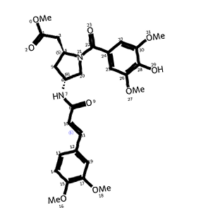 COC(=O)C[C@@H]1C[C@@H](NC(=O)/C=C/c2ccc(OC)c(OC)c2)CN1C(=O)c1cc(OC)c(O)c(OC)c1